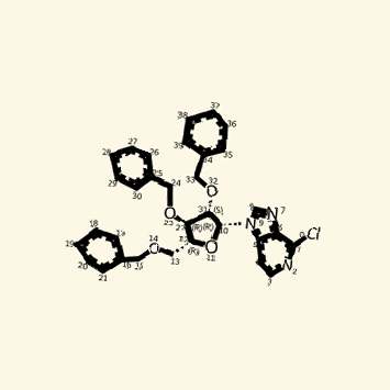 Clc1nccc2c1ncn2[C@@H]1O[C@H](COCc2ccccc2)[C@@H](OCc2ccccc2)[C@@H]1OCc1ccccc1